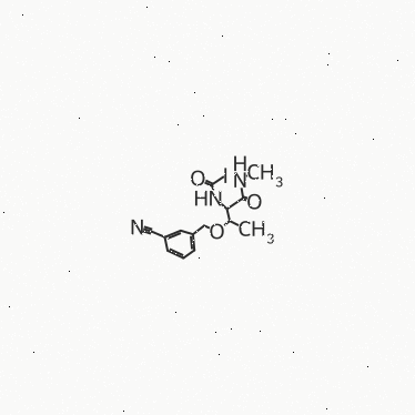 CNC(=O)C(NC(=O)I)C(C)OCc1cccc(C#N)c1